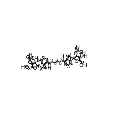 O=[PH](S)OC1[C@H](n2cnc3c(NC/C=C/CNc4ncnc5c4ncn5C4O[C@H](CO)[C@@H](O[PH](=O)S)[C@H]4O)ncnc32)O[C@H](CO)[C@H]1O